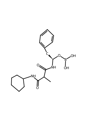 CC(C(=O)NC1CCCCC1)C(=O)N[C@@H](Cc1ccccc1)OB(O)O